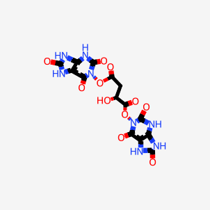 O=C(CC(O)C(=O)On1c(=O)[nH]c2[nH]c(=O)[nH]c2c1=O)On1c(=O)[nH]c2[nH]c(=O)[nH]c2c1=O